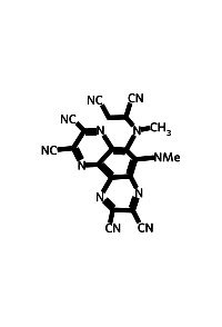 CNc1c(N(C)C(C#N)CC#N)c2nc(C#N)c(C#N)nc2c2nc(C#N)c(C#N)nc12